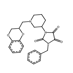 O=C1C(=O)N(C2CCCN(CC3COc4ccccc4O3)C2)C(=O)N1Cc1ccccc1